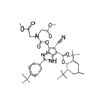 COC(=O)CN(CC(=O)OC)C(=O)Oc1c(C#N)c(C(=O)OC2C(C(C)(C)C)CC(C)CC2C(C)(C)C)c2[nH]c(-c3ccc(C(C)(C)C)cc3)nn12